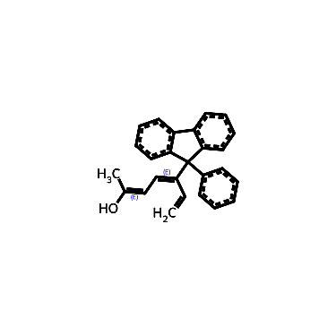 C=C/C(=C\C=C(/C)O)C1(c2ccccc2)c2ccccc2-c2ccccc21